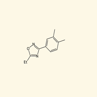 CCc1nc(-c2ccc(C)c(C)c2)no1